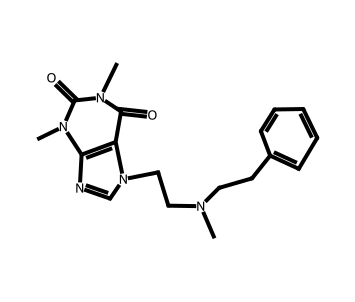 CN(CCc1ccccc1)CCn1cnc2c1c(=O)n(C)c(=O)n2C